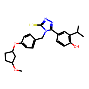 COC1CCC(Oc2ccc(Cn3c(S)nnc3-c3ccc(O)c(C(C)C)c3)cc2)C1